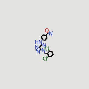 CN(C)C(=O)c1ccc(Nc2ncn(Cc3c(Cl)cccc3Cl)c3ncnc2-3)cc1